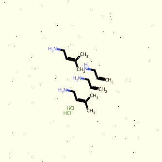 C=CCN.C=CCN.CC(C)=CCN.CC(C)=CCN.Cl.Cl